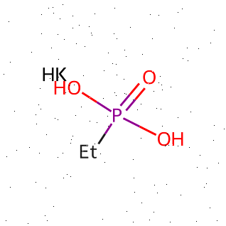 CCP(=O)(O)O.[KH]